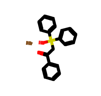 Br.O=C(CS(O)(c1ccccc1)c1ccccc1)c1ccccc1